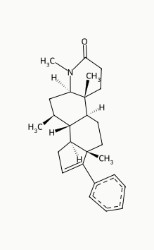 C[C@H]1C[C@H]2N(C)C(=O)CC[C@]2(C)[C@H]2CC[C@]3(C)C(c4ccccc4)=CC[C@H]3[C@H]12